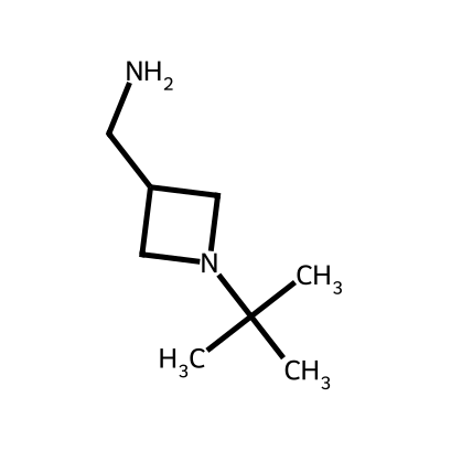 CC(C)(C)N1CC(CN)C1